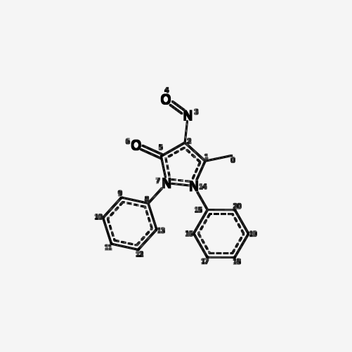 Cc1c(N=O)c(=O)n(-c2ccccc2)n1-c1ccccc1